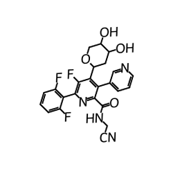 N#CCNC(=O)c1nc(-c2c(F)cccc2F)c(F)c(C2CC(O)C(O)CO2)c1-c1cccnc1